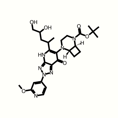 COc1cc(-n2nc3[nH]c(C(C)CC(O)CO)c(N4CCN(C(=O)OC(C)(C)C)[C@H]5CC[C@@H]54)c(=O)c3n2)ccn1